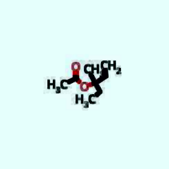 C=CC(C)(CC)OC(C)=O